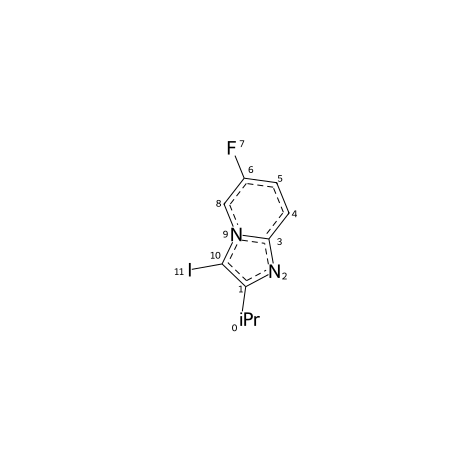 CC(C)c1nc2ccc(F)cn2c1I